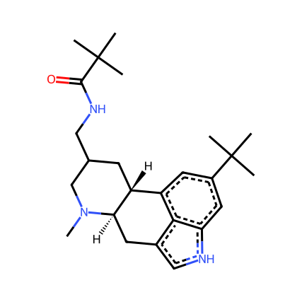 CN1CC(CNC(=O)C(C)(C)C)C[C@@H]2c3cc(C(C)(C)C)cc4[nH]cc(c34)C[C@H]21